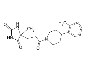 Cc1ccccc1C1CCN(C(=O)CCC2(C)NC(=O)NC2=O)CC1